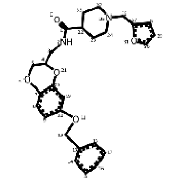 O=C(NCC1COc2ccc(OCc3ccccc3)cc2O1)C1CCN(Cc2ccco2)CC1